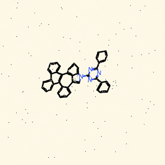 c1ccc(-c2nc(-c3ccccc3)nc(-n3cc4c5c(cccc53)-c3c(c5ccccc5c5ccccc35)-c3ccccc3-4)n2)cc1